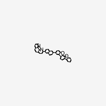 c1cnc2c(c1)ccc1ccc(-c3ccc4cc(-c5ccc6oc7c(ccc8c9ccccc9oc87)c6c5)ccc4c3)nc12